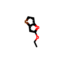 CCOc1cc2sccc2o1